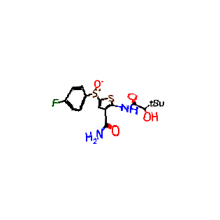 CC(C)(C)C(O)C(=O)Nc1sc([S+]([O-])c2ccc(F)cc2)cc1C(N)=O